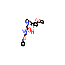 O=C(CCN1CCC[C@@H]1Cc1c[nH]c2ccc(CCC3(O)CCCC3)cc12)NCCOCc1ccccc1